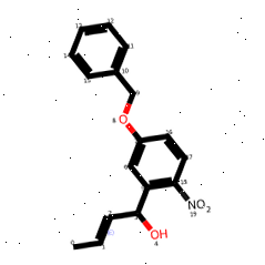 C/C=C/C(O)c1cc(OCc2ccccc2)ccc1[N+](=O)[O-]